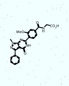 COc1cc(C(=O)NCC(=O)O)ccc1-c1nc2c(c(-c3ccccc3)nn2C)c(=O)[nH]1